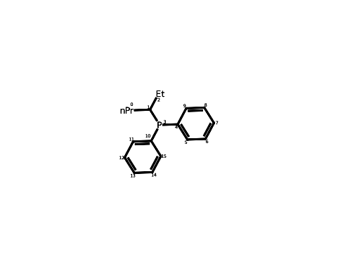 CCCC(CC)P(c1ccccc1)c1ccccc1